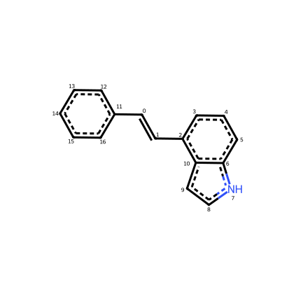 C(=C\c1cccc2[nH]ccc12)/c1ccccc1